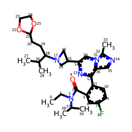 CCN(C(=O)c1cc(F)ccc1-c1nc(C2CN(C(CCC3OCCO3)C(C)C)C2)cn2c(C)ncc12)C(C)C